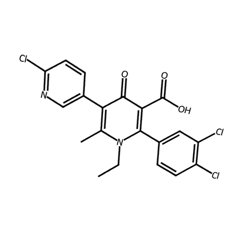 CCn1c(C)c(-c2ccc(Cl)nc2)c(=O)c(C(=O)O)c1-c1ccc(Cl)c(Cl)c1